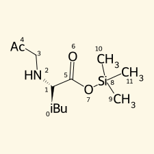 CC[C@H](C)[C@H](NCC(C)=O)C(=O)O[Si](C)(C)C